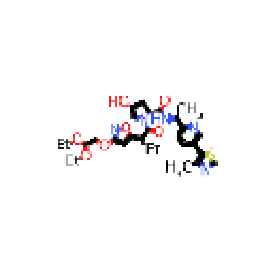 CCOC(COc1cc(C(C(=O)N2C[C@H](O)C[C@H]2C(=O)N[C@@H](C)c2ccc(-c3scnc3C)cn2)C(C)C)on1)OCC